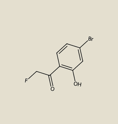 O=C(CF)c1ccc(Br)cc1O